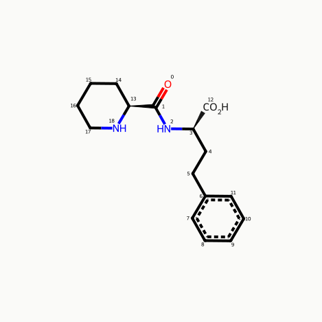 O=C(N[C@H](CCc1ccccc1)C(=O)O)[C@@H]1CCCCN1